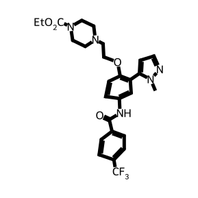 CCOC(=O)N1CCN(CCOc2ccc(NC(=O)c3ccc(C(F)(F)F)cc3)cc2-c2ccnn2C)CC1